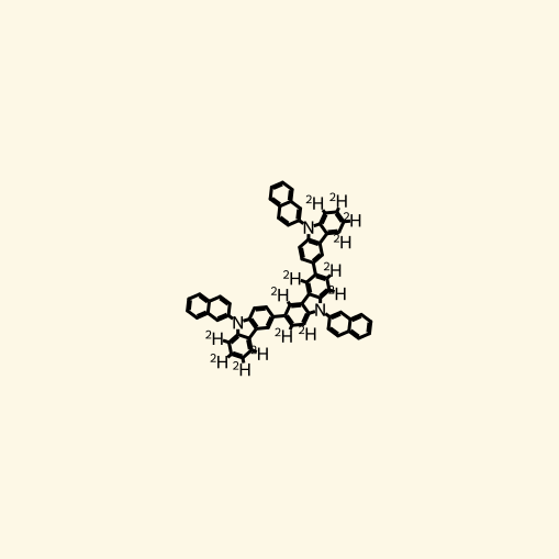 [2H]c1c([2H])c([2H])c2c(c1[2H])c1cc(-c3c([2H])c([2H])c4c(c3[2H])c3c([2H])c(-c5ccc6c(c5)c5c([2H])c([2H])c([2H])c([2H])c5n6-c5ccc6ccccc6c5)c([2H])c([2H])c3n4-c3ccc4ccccc4c3)ccc1n2-c1ccc2ccccc2c1